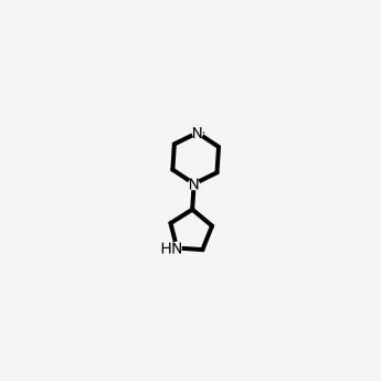 C1CN(C2CCNC2)CC[N]1